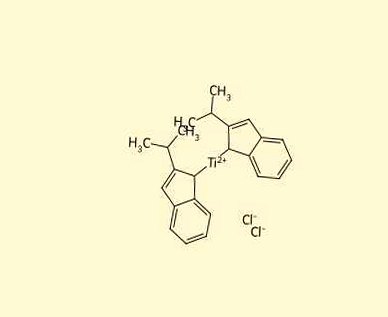 CC(C)C1=Cc2ccccc2[CH]1[Ti+2][CH]1C(C(C)C)=Cc2ccccc21.[Cl-].[Cl-]